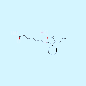 CCCC(C(C)C(=O)O)C1(CCCCCCCC(=O)O)C=CCCC1